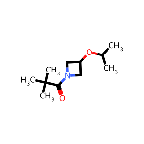 CC(C)OC1CN(C(=O)C(C)(C)C)C1